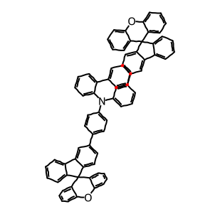 C1=CC(c2ccccc2N(c2ccc(-c3ccc4c(c3)-c3ccccc3C43c4ccccc4Oc4ccccc43)cc2)c2cccc(-c3ccc4c(c3)-c3ccccc3C43c4ccccc4Oc4ccccc43)c2)=CCC1